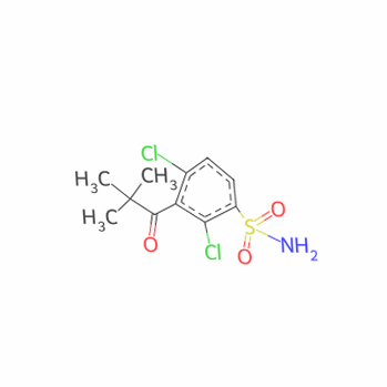 CC(C)(C)C(=O)c1c(Cl)ccc(S(N)(=O)=O)c1Cl